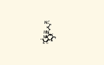 Cc1cc(NCCCC#N)c2ncccc2c1